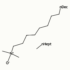 CCCCCCCC.CCCCCCCCCCCCCCCCCC[N+](C)(C)[O-]